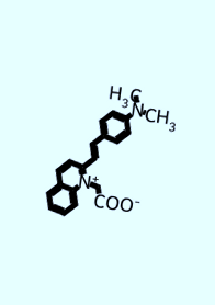 CN(C)c1ccc(/C=C/c2ccc3ccccc3[n+]2CC(=O)[O-])cc1